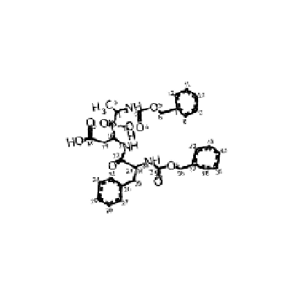 CC(NC(=O)OCc1ccccc1)P(=O)(O)C(CC(=O)O)NC(=O)[C@H](Cc1ccccc1)NC(=O)OCc1ccccc1